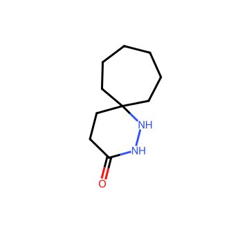 O=C1CCC2(CCCCCC2)NN1